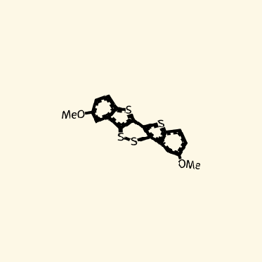 COc1ccc2sc3c(c2c1)SSc1c-3sc2ccc(OC)cc12